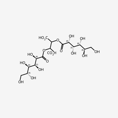 O=C(O)C(OC(=O)[C@H](O)[C@@H](O)[C@H](O)[C@H](O)CO)C(OC(=O)[C@H](O)[C@@H](O)[C@H](O)[C@H](O)CO)C(=O)O